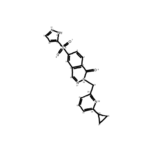 O=c1c2ccc(S(=O)(=O)c3ccn[nH]3)cc2cnn1Cc1cccc(C2CC2)n1